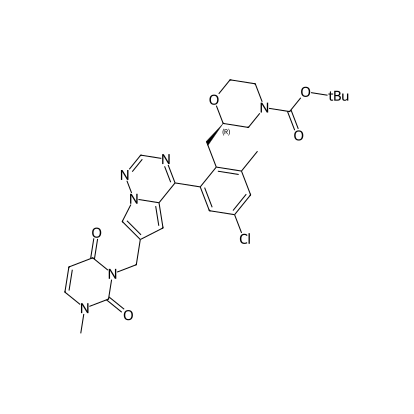 Cc1cc(Cl)cc(-c2ncnn3cc(Cn4c(=O)ccn(C)c4=O)cc23)c1C[C@@H]1CN(C(=O)OC(C)(C)C)CCO1